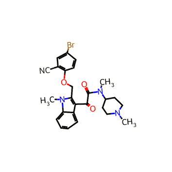 CN1CCC(N(C)C(=O)C(=O)c2c(COc3ccc(Br)cc3C#N)n(C)c3ccccc23)CC1